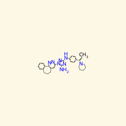 C/C=C(\c1ccc(Nc2nc(N)n(-c3cc4c(nn3)-c3ccccc3CCC4)n2)cc1)N1CCCCC1